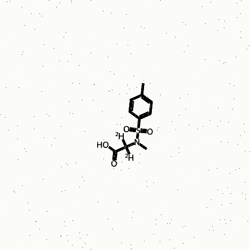 [2H]C([2H])(C(=O)O)N(C)S(=O)(=O)c1ccc(C)cc1